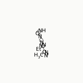 CCc1nc(N2CCC(N3CC4(CNCCO4)C3)CC2)ncc1-c1cc(C)c2nccn2c1